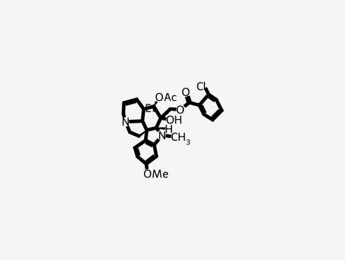 CC[C@]12C=CCN3CC[C@@]4(c5ccc(OC)cc5N(C)[C@H]4C(O)(COC(=O)c4ccccc4Cl)[C@@H]1OC(C)=O)C32